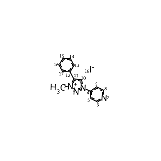 C[n+]1nn(-c2ccncc2)cc1-c1ccccc1.[I-]